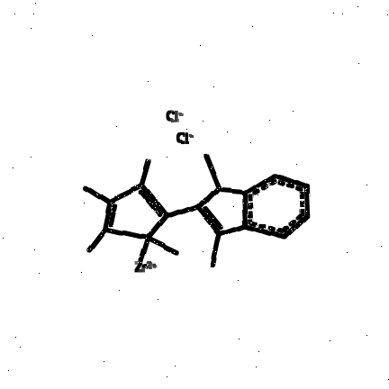 CC1=C(C)[C](C)([Zr+2])C(C2=C(C)c3ccccc3C2C)=C1C.[Cl-].[Cl-]